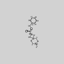 CN1CCC2(CC1)CN(C(=O)OCc1ccccc1)C2